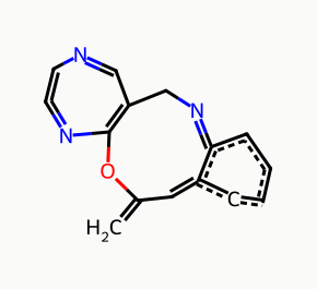 C=C1/C=c2/cccc/c2=N/CC2=C(N=C=CN=C2)O1